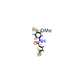 COc1cc(NC(=O)c2ccc(Br)s2)ccc1Br